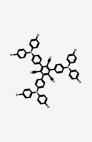 N#Cc1c(-c2ccc(N(c3ccc(Br)cc3)c3ccc(Br)cc3)cc2)c(C#N)c(-c2ccc(N(c3ccc(Br)cc3)c3ccc(Br)cc3)cc2)c(C#N)c1-c1ccc(N(c2ccc(Br)cc2)c2ccc(Br)cc2)cc1